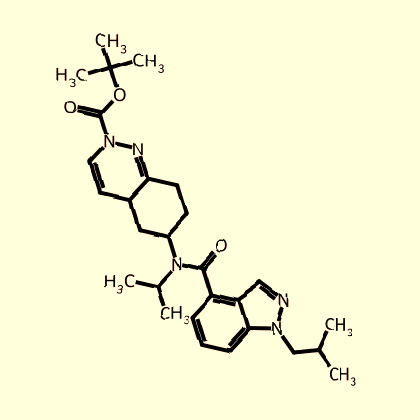 CC(C)Cn1ncc2c(C(=O)N(C(C)C)C3CCC4=NN(C(=O)OC(C)(C)C)C=CC4C3)cccc21